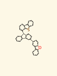 c1ccc2c(c1)-c1cc(-c3ccc4oc5ccccc5c4c3)ccc1[C@@H]2c1cccc2c1sc1ccccc12